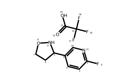 Fc1ccc(C2CCON2)cn1.O=C(O)C(F)(F)F